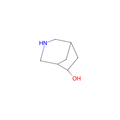 OC1CC2CNCC1C2